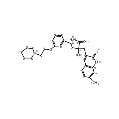 Cc1ccc2cc(CC(O)(CCc3cccc(OCCN4CCCCC4)c3)C(N)=O)c(=O)oc2c1